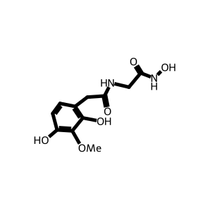 COc1c(O)ccc(CC(=O)NCC(=O)NO)c1O